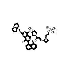 CN(c1nc(OC[C@@]23CCCN2C[C@H](F)C3)nc2c(F)c(-c3cccc4cccc(Cl)c34)ncc12)[C@@H]1CCN(C(=O)/C=C/[C@H]2CCN2CCO[Si](C)(C)C(C)(C)C)C1